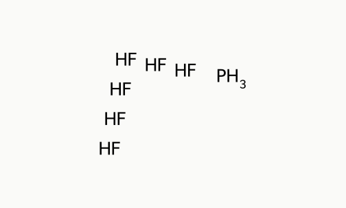 F.F.F.F.F.F.P